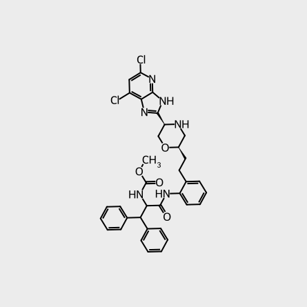 COC(=O)NC(C(=O)Nc1ccccc1CC[C@@H]1CN[C@H](c2nc3c(Cl)cc(Cl)nc3[nH]2)CO1)C(c1ccccc1)c1ccccc1